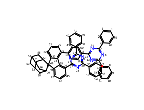 c1ccc(-c2nc(-c3ccccc3)nc(-c3ccc(-c4cccc5c4-c4c(-c6nc(-c7ccccc7)nc(-c7ccccc7)n6)cccc4C54C5CC6CC(C5)CC4C6)cc3)n2)cc1